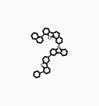 c1ccc(-c2cccc3c2sc2ccc(-c4ccc5c(c4)c4ccccc4n5-c4ccc5ccc6c7cccc(-c8cccc9ccccc89)c7oc6c5c4)cc23)cc1